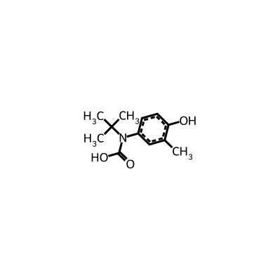 Cc1cc(N(C(=O)O)C(C)(C)C)ccc1O